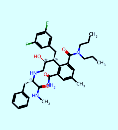 CCCN(CCC)C(=O)c1cc(C)cc(C(N)=O)c1[C@H](Cc1cc(F)cc(F)c1)[C@@H](O)CN[C@@H](Cc1ccccc1)C(=O)NC